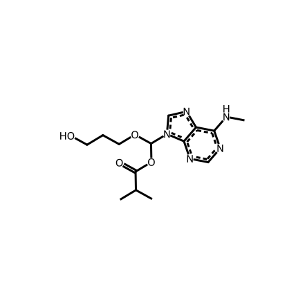 CNc1ncnc2c1ncn2C(OCCCO)OC(=O)C(C)C